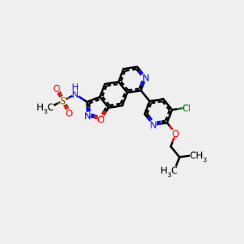 CC(C)COc1ncc(-c2nccc3cc4c(NS(C)(=O)=O)noc4cc23)cc1Cl